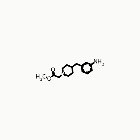 COC(=O)CN1CCC(Cc2cccc(N)c2)CC1